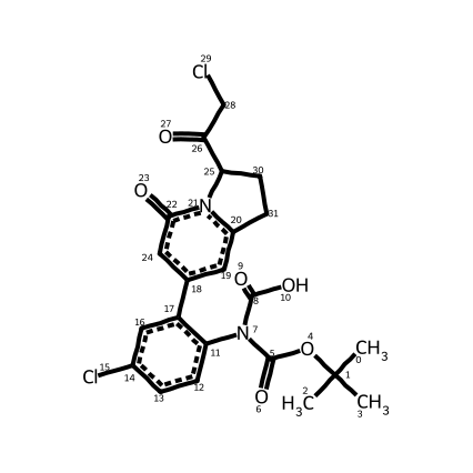 CC(C)(C)OC(=O)N(C(=O)O)c1ccc(Cl)cc1-c1cc2n(c(=O)c1)C(C(=O)CCl)CC2